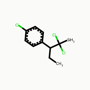 CCC(c1ccc(Cl)cc1)C([SiH3])(Cl)Cl